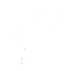 c1cc(N2CCN(Cc3ccc(CC4CCCCC4)cc3)CC2)c2cc[nH]c2c1